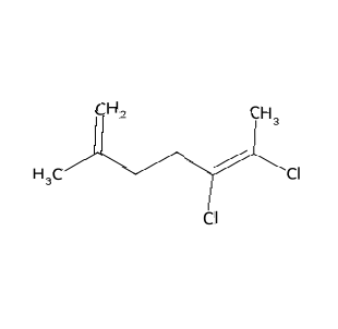 C=C(C)CC/C(Cl)=C(\C)Cl